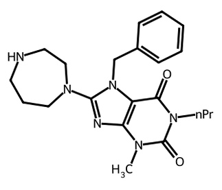 CCCn1c(=O)c2c(nc(N3CCCNCC3)n2Cc2ccccc2)n(C)c1=O